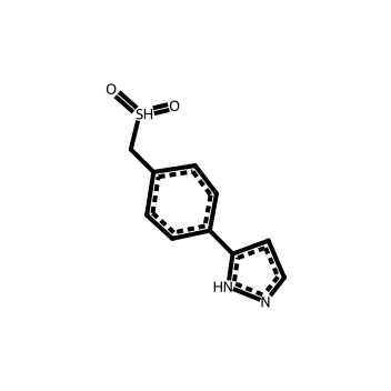 O=[SH](=O)Cc1ccc(-c2ccn[nH]2)cc1